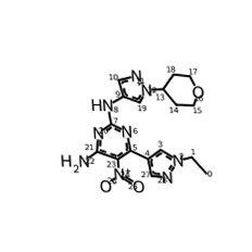 CCn1cc(-c2nc(Nc3cnn(C4CCOCC4)c3)nc(N)c2[N+](=O)[O-])cn1